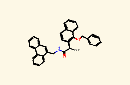 CCCC(C(=O)NCc1cc2ccccc2c2ccccc12)c1ccc2ccccc2c1OCc1ccccc1